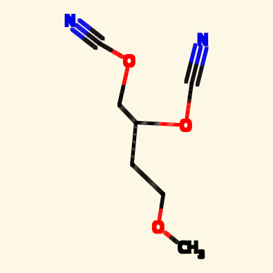 COCCC(COC#N)OC#N